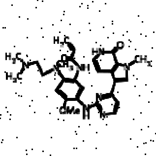 C=CC(=O)Nc1cc(Nc2nccc(-c3cn(C)c4c(=O)[nH]ccc34)n2)c(OC)cc1N(C)CCN(C)C